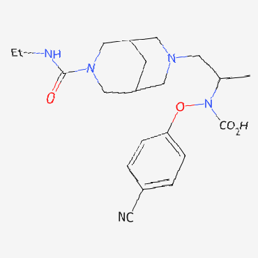 CCNC(=O)N1CC2CC(CN(CC(C)N(Oc3ccc(C#N)cc3)C(=O)O)C2)C1